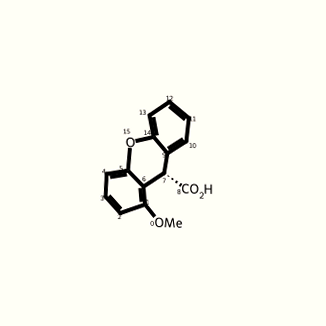 COc1cccc2c1[C@@H](C(=O)O)c1ccccc1O2